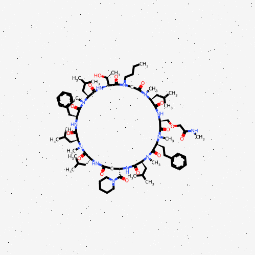 CCCCN1CC(=O)N(C)[C@@H](CC(C)C)C(=O)N[C@@H](COCC(=O)NC)C(=O)N(C)[C@@H](CCc2ccccc2)C(=O)N(C)[C@@H](CC(C)C)C(=O)N[C@H](C(=O)N2CCCCC2)CC(=O)N[C@H](CC(C)C)C(=O)N(C)[C@@H](CC(C)C)C(=O)N[C@@H](Cc2ccccc2)C(=O)N(C)[C@@H](CC(C)C)C(=O)N[C@@H]([C@@H](C)O)C1=O